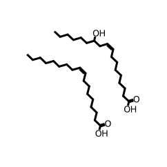 CCCCCCC(O)C/C=C\CCCCCCCC(=O)O.CCCCCCCC/C=C\CCCCCCCC(=O)O